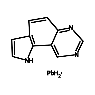 [PbH2].c1ncc2c(ccc3cc[nH]c32)n1